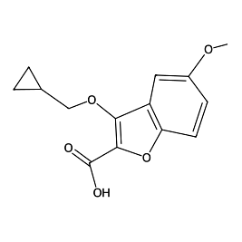 COc1ccc2oc(C(=O)O)c(OCC3CC3)c2c1